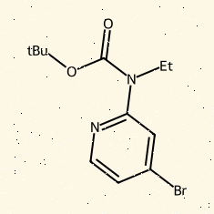 CCN(C(=O)OC(C)(C)C)c1cc(Br)ccn1